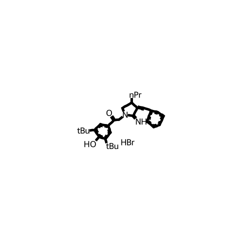 Br.CCCC1CN(CC(=O)c2cc(C(C)(C)C)c(O)c(C(C)(C)C)c2)C(=N)C1=Cc1ccccc1